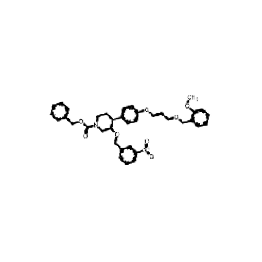 COc1ccccc1COCCCOc1ccc(C2CCN(C(=O)OCc3ccccc3)CC2OCc2cccc([N+](=O)[O-])c2)cc1